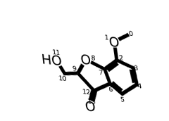 COc1cccc2c1OC(CO)C2=O